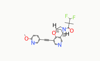 COc1ccc(C#Cc2cncc3c2O[C@H]2C[C@@H]3N(C(=O)C(C)(C)C(F)F)C2)cn1